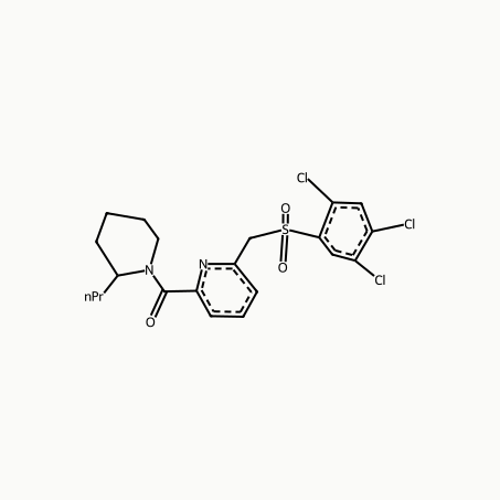 CCCC1CCCCN1C(=O)c1cccc(CS(=O)(=O)c2cc(Cl)c(Cl)cc2Cl)n1